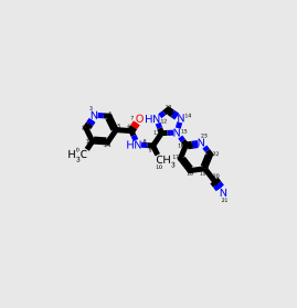 Cc1cncc(C(=O)NC(C)C2NC=NN2c2ccc(C#N)cn2)c1